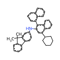 CC1(C)c2ccccc2-c2ccc(Nc3cc(C4CCCCC4)c4ccccc4c3-c3cccc4ccccc34)cc21